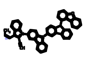 C#Cc1c(/C=C\C)c2ccccc2n1-c1ccc2c(c1)c1ccccc1n2-c1ccc2c(c1)-c1ccccc1C2c1cccc2oc3ccccc3c12